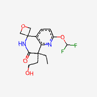 CCC1(CCO)C(=O)NC2(COC2)c2ccc(OC(F)F)nc21